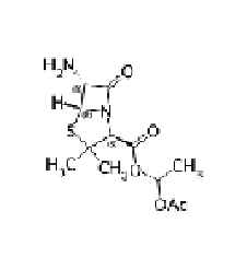 CC(=O)OC(C)OC(=O)[C@@H]1N2C(=O)[C@@H](N)[C@H]2SC1(C)C